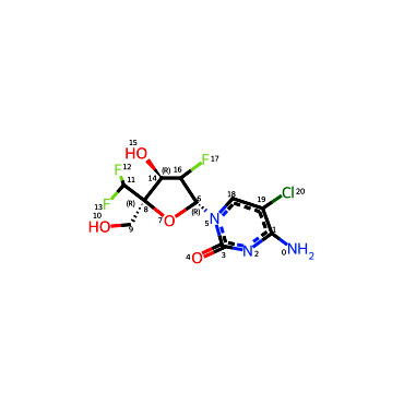 Nc1nc(=O)n([C@@H]2O[C@@](CO)(C(F)F)[C@@H](O)C2F)cc1Cl